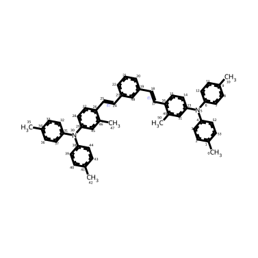 Cc1ccc(N(c2ccc(C)cc2)c2ccc(/C=C/c3cccc(/C=C/c4ccc(N(c5ccc(C)cc5)c5ccc(C)cc5)cc4C)c3)c(C)c2)cc1